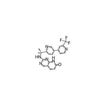 C[C@H](Nc1ncc2ccc(=O)[nH]c2n1)c1ccc(-c2ccnc(C(F)(F)F)c2)cn1